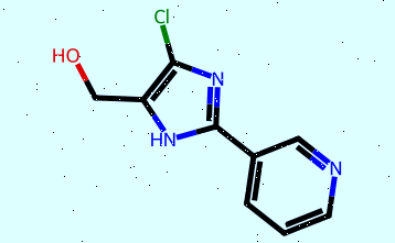 OCc1[nH]c(-c2cccnc2)nc1Cl